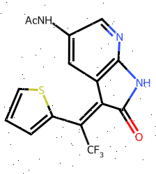 CC(=O)Nc1cnc2c(c1)C(=C(c1cccs1)C(F)(F)F)C(=O)N2